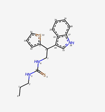 CCCNC(=S)NCC(c1cccs1)c1c[nH]c2ccccc12